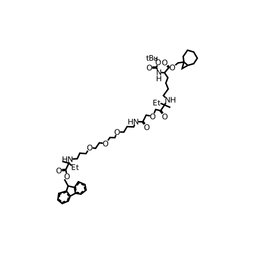 CCC(C)(NCCCCC(NC(=O)OC(C)(C)C)C(=O)OCC12CCCCCC1C2)C(=O)COCC(=O)NCCCOCCOCCOCCCNC(C)(CC)C(=O)OCC1c2ccccc2-c2ccccc21